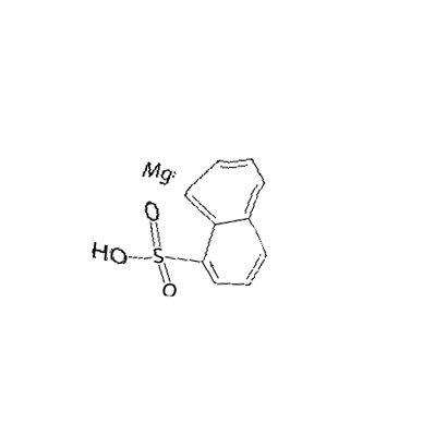 O=S(=O)(O)c1cccc2ccccc12.[Mg]